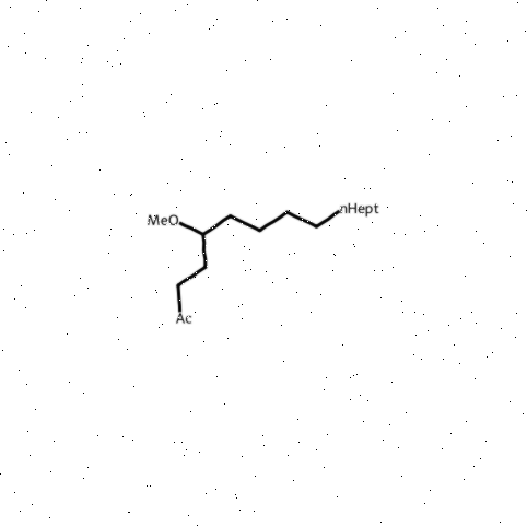 CCCCCCCCCCCC(CCC(C)=O)OC